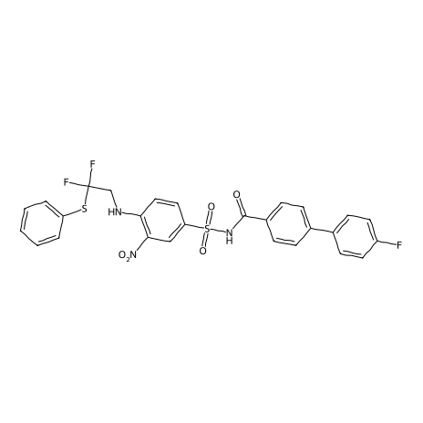 O=C(NS(=O)(=O)c1ccc(NCC(F)(F)Sc2ccccc2)c([N+](=O)[O-])c1)c1ccc(-c2ccc(F)cc2)cc1